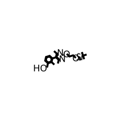 Cc1nc(OCCO[Si](C)(C)C(C)(C)C)nc(C)c1-c1cccc(CO)c1C